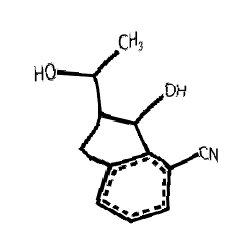 CC(O)C1Cc2cccc(C#N)c2C1O